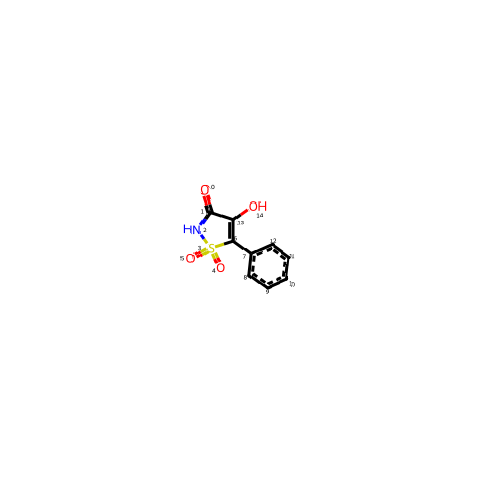 O=C1NS(=O)(=O)C(c2ccccc2)=C1O